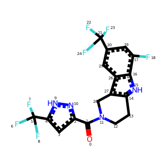 O=C(c1cc(C(F)(F)F)[nH]n1)N1CCc2[nH]c3c(F)cc(C(F)(F)F)cc3c2C1